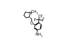 CN1CCC[C@@H]1COc1cc(N)ccc1C(F)(F)C(F)(F)F